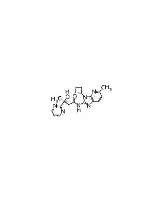 Cc1ccc2nc(NC(=O)C[C@](C)(O)c3ncccn3)n(C3CCC3)c2n1